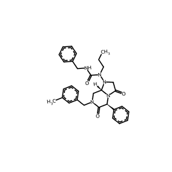 CCCN(C(=O)NCc1ccccc1)N1CC(=O)N2[C@@H](c3ccccc3)C(=O)N(Cc3cccc(C)c3)C[C@@H]21